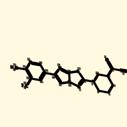 CNC(=O)C1CCCN(c2nn3cc(-c4cnc(N)c(C(F)(F)F)c4)nc3s2)C1